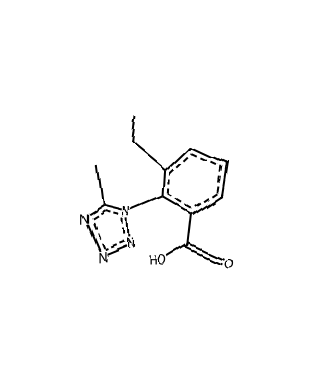 CCc1cccc(C(=O)O)c1-n1nnnc1C